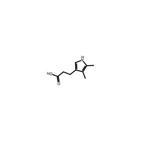 Cc1[nH]cc(CCC(=O)O)c1C